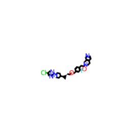 O=C(Cc1ccc(COCC[C@@H]2CC2C2CCN(c3ncc(Cl)cn3)CC2)cc1F)N1CCc2ccncc2C1